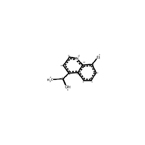 CCc1cccc2c(C(C)O)ccnc12